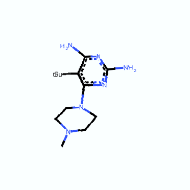 CN1CCN(c2nc(N)nc(N)c2C(C)(C)C)CC1